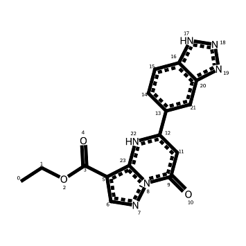 CCOC(=O)c1cnn2c(=O)cc(-c3ccc4[nH]nnc4c3)[nH]c12